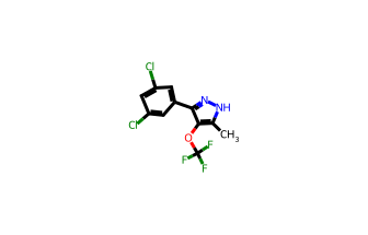 Cc1[nH]nc(-c2cc(Cl)cc(Cl)c2)c1OC(F)(F)F